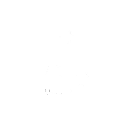 COC1=Cc2ccccc2C1c1cc2c(c(CCc3ccccc3)c1)CCCC2